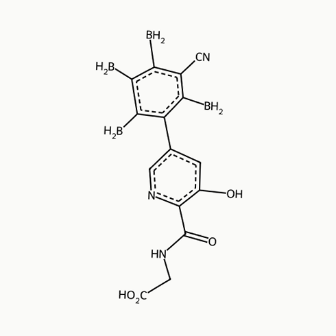 Bc1c(B)c(C#N)c(B)c(-c2cnc(C(=O)NCC(=O)O)c(O)c2)c1B